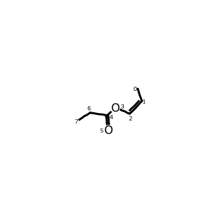 C/C=C\OC(=O)CC